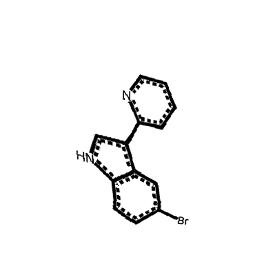 Brc1ccc2[nH]cc(-c3ccccn3)c2c1